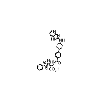 O=C(NC[C@H](NS(=O)(=O)c1ccccc1)C(=O)O)c1ccc(N2CCC(Nc3nc4ncccc4[nH]3)CC2)cc1